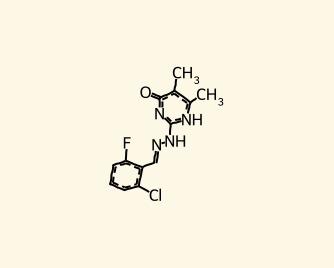 Cc1[nH]c(N/N=C/c2c(F)cccc2Cl)nc(=O)c1C